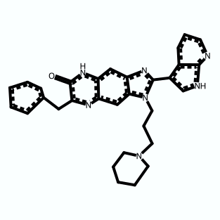 O=c1[nH]c2cc3nc(-c4c[nH]c5ncccc45)n(CCCN4CCCCC4)c3cc2nc1Cc1ccccc1